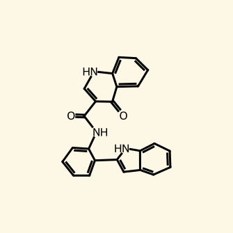 O=C(Nc1ccccc1-c1cc2ccccc2[nH]1)c1c[nH]c2ccccc2c1=O